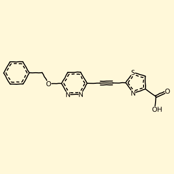 O=C(O)c1csc(C#Cc2ccc(OCc3ccccc3)nn2)n1